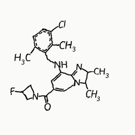 Cc1ccc(Cl)c(C)c1CNC1=CC(C(=O)N2CC(F)C2)=CN2C1=NC(C)C2C